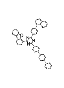 c1ccc(-c2ccc(-c3ccc(-c4nc(-c5ccc(-c6cccc7ccccc67)cc5)nc(-c5cccc6c5oc5ccccc56)n4)cc3)cc2)cc1